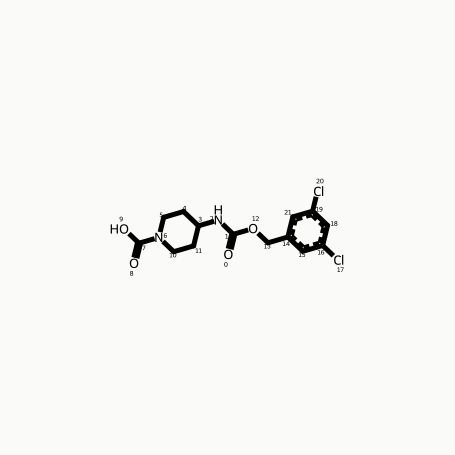 O=C(NC1CCN(C(=O)O)CC1)OCc1cc(Cl)cc(Cl)c1